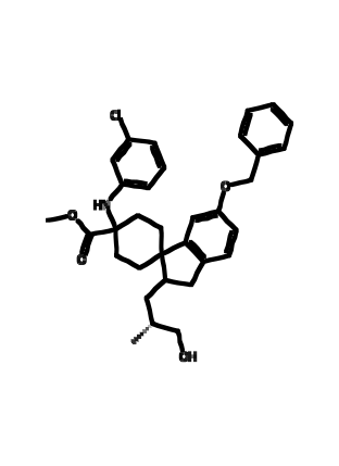 COC(=O)C1(Nc2cccc(Cl)c2)CCC2(CC1)c1cc(OCc3ccccc3)ccc1CC2C[C@@H](C)CO